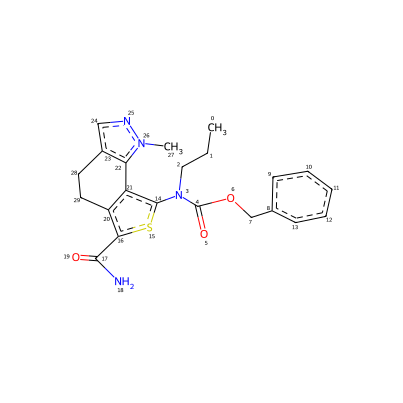 CCCN(C(=O)OCc1ccccc1)c1sc(C(N)=O)c2c1-c1c(cnn1C)CC2